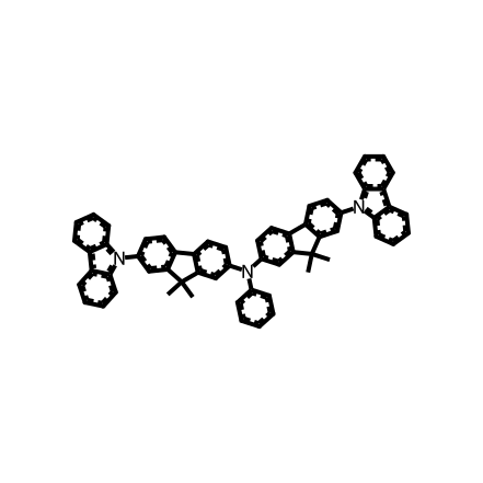 CC1(C)c2cc(N(c3ccccc3)c3ccc4c(c3)C(C)(C)c3cc(-n5c6ccccc6c6ccccc65)ccc3-4)ccc2-c2ccc(-n3c4ccccc4c4ccccc43)cc21